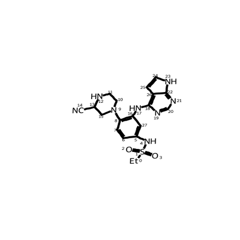 CCS(=O)(=O)Nc1ccc(N2CCNC(C#N)C2)c(Nc2ncnc3[nH]ccc23)c1